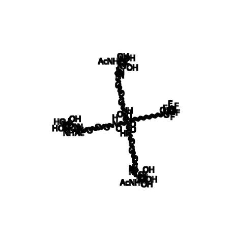 CC(=O)N[C@@H]1[C@@H](O)[C@@H](O)[C@@H](CO)O[C@@H]1Cc1cn(CCOCCOCCOCCNC(=O)CCC(CCC(=O)NCCOCCOCCOCCn2cc(C[C@H]3O[C@H](CO)[C@H](O)[C@H](O)[C@H]3NC(C)=O)nn2)(CCC(=O)NCCOCCOCCOCCn2cc(C[C@H]3O[C@H](CO)[C@H](O)[C@H](O)[C@H]3NC(C)=O)nn2)NC(=O)CCCCCCCCCCC(=O)Oc2c(F)c(F)c(F)c(F)c2F)nn1